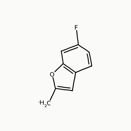 [CH2]c1cc2ccc(F)cc2o1